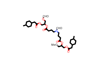 COCC(COC(=O)CC1CCC(C)CC1)OC(=O)CCCN(C=O)CCCC(=O)OC(COC=O)COC(=O)CC1CCC(C)CC1